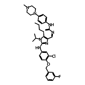 C=C(/N=C\c1nc(Nc2ccc(OCc3cccc(F)c3)c(Cl)c2)n(C(C)C)c1CCCC)Nc1ccc(N2CCN(C)CC2)cc1